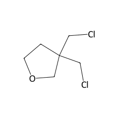 ClCC1(CCl)CCOC1